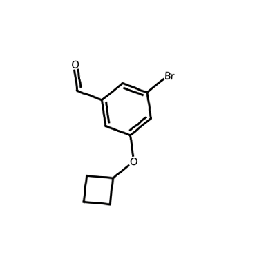 O=Cc1cc(Br)cc(OC2CCC2)c1